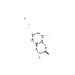 COCOc1cc(Br)c2[nH]c(=O)c(F)cc2c1